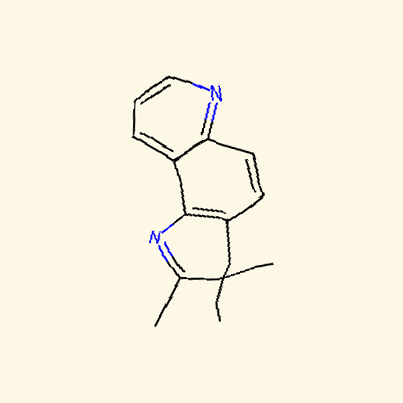 CC1=Nc2c(ccc3ncccc23)C1(C)C